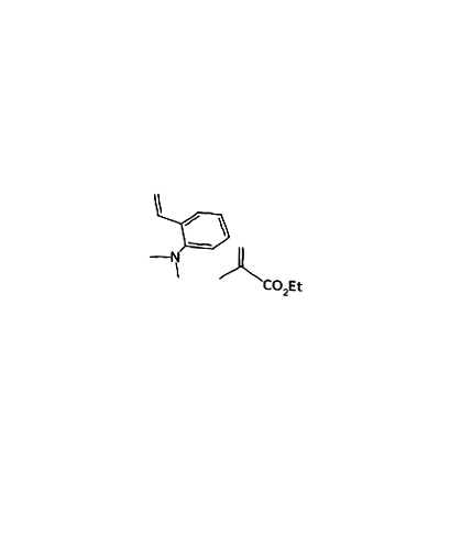 C=C(C)C(=O)OCC.C=Cc1ccccc1N(C)C